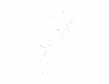 CCOC(=O)C1(c2cnc(NC3CCN(C(=O)OCc4ccccc4)CC3)nc2Cl)CC1